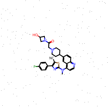 CN(c1nc(-c2ccc(F)cc2)c(C#N)s1)c1ccnc2ccc(C3CCN(CC(=O)N4CC(O)C4)CC3)cc12